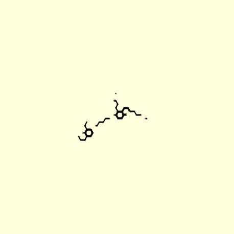 CCCc1c(OCCCCCOc2ccc3nc(CCC(=O)OCC)ccc3c2CCC(=O)OCC)ccc2c1OCCC2=O